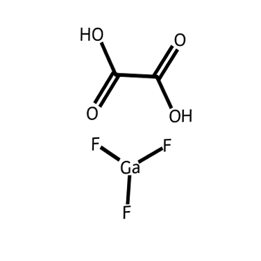 O=C(O)C(=O)O.[F][Ga]([F])[F]